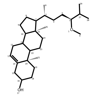 CO[C@@H](CC[C@@H](C)C1CCC2C3CC=C4CC(O)CC[C@]4(C)C3CC[C@@]21C)C(C)C